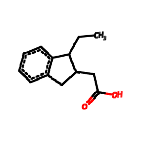 CCC1c2ccccc2CC1CC(=O)O